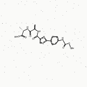 C=C(NC(=O)c1csc(-c2ccc(NC(=O)OC(C)(C)C)cc2)n1)C(=O)N[C@@H](C)C(=O)OC